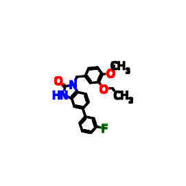 CCOc1cc(Cn2c(=O)[nH]c3cc(-c4cccc(F)c4)ccc32)ccc1OC